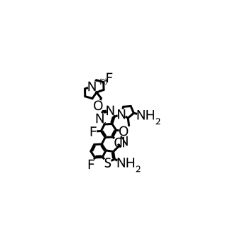 N#Cc1c(N)sc2c(F)ccc(-c3c(Cl)c4c5c(nc(OCC67CCCN6C[C@H](F)C7)nc5c3F)N3CCC(N)C3CO4)c12